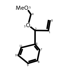 C=CC(OCOC)c1ccccc1